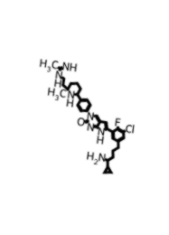 CC(=N)NCCC1(C)CCCC(c2ccc(-n3cc4cc(-c5cc(CCCC(N)C6CC6)cc(Cl)c5F)[nH]c4nc3=O)cc2)N1